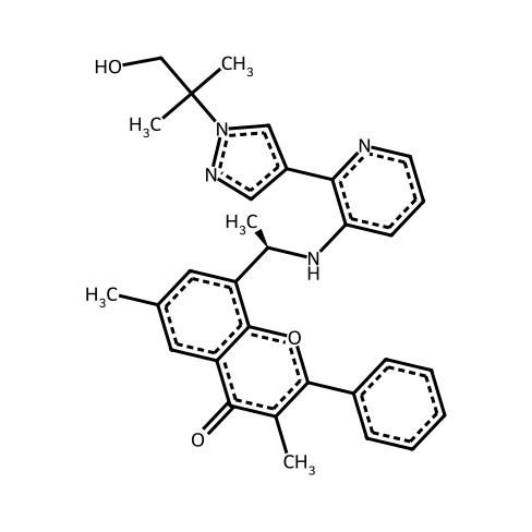 Cc1cc([C@@H](C)Nc2cccnc2-c2cnn(C(C)(C)CO)c2)c2oc(-c3ccccc3)c(C)c(=O)c2c1